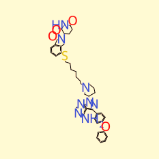 Nc1ncnc2c1c(-c1ccc(Oc3ccccc3)cc1)nn2C1CCCN(CCCCCCCSc2cccc3c2CN(C2CCC(=O)NC2=O)C3=O)C1